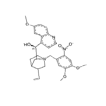 C=CC1C[N+]2(Cc3cc(OC)c(OC)cc3[N+](=O)[O-])CCC1CC2[C@@H](O)c1ccnc2ccc(OC)cc12